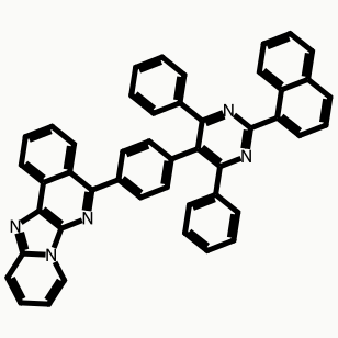 c1ccc(-c2nc(-c3cccc4ccccc34)nc(-c3ccccc3)c2-c2ccc(-c3nc4c(nc5ccccn54)c4ccccc34)cc2)cc1